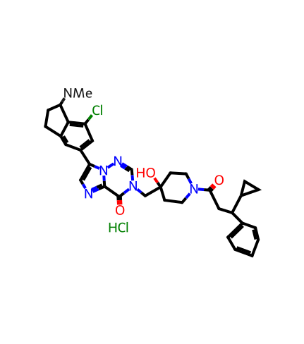 CNC1CCc2cc(-c3cnc4c(=O)n(CC5(O)CCN(C(=O)CC(c6ccccc6)C6CC6)CC5)cnn34)cc(Cl)c21.Cl